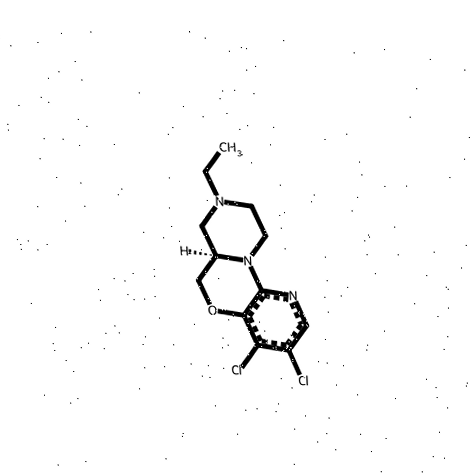 CCN1CCN2c3ncc(Cl)c(Cl)c3OC[C@H]2C1